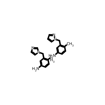 Cc1ccc(N)cc1Cn1cccn1.Cc1ccc(N)cc1Cn1ccnc1